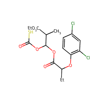 CCOC(=O)C(C)C(OC(=O)S)OC(=O)C(CC)Oc1ccc(Cl)cc1Cl